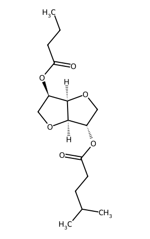 CCCC(=O)O[C@@H]1CO[C@H]2[C@@H]1OC[C@@H]2OC(=O)CCC(C)C